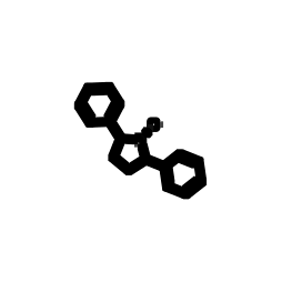 [O]N1C(c2ccccc2)CCC1c1ccccc1